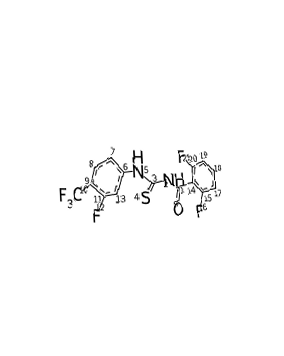 O=C(NC(=S)Nc1ccc(C(F)(F)F)c(F)c1)c1c(F)cccc1F